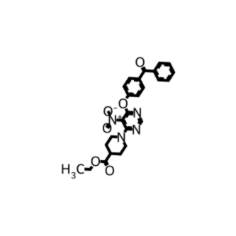 CCOC(=O)C1CCN(c2ncnc(Oc3ccc(C(=O)c4ccccc4)cc3)c2[N+](=O)[O-])CC1